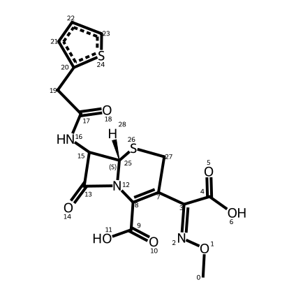 CON=C(C(=O)O)C1=C(C(=O)O)N2C(=O)C(NC(=O)Cc3cccs3)[C@@H]2SC1